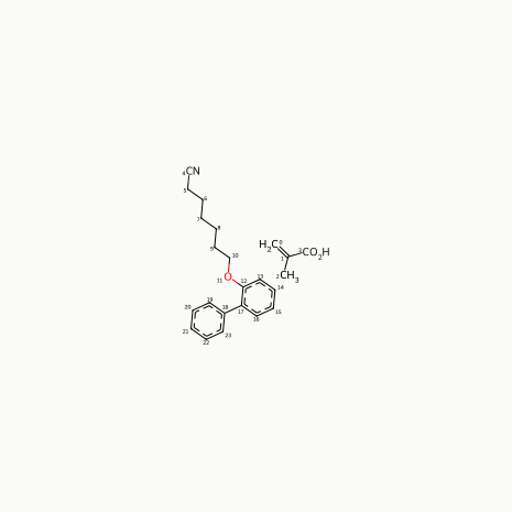 C=C(C)C(=O)O.N#CCCCCCCOc1ccccc1-c1ccccc1